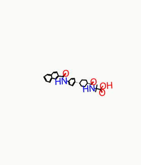 CC(C)(NC(=O)[C@H]1CC[C@H](c2ccc(NC(=O)c3ccc4ccccc4c3)cc2)CC1)C(=O)O